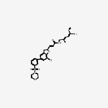 C=N/C(N)=C\C=C(/C)CNC(=O)/C=C/C1Cc2cc(-c3cccc(S(=O)(=O)N4CCOCC4)c3)cc(Cl)c2O1